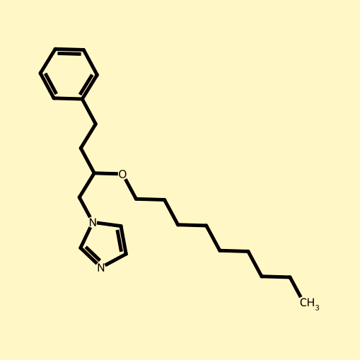 CCCCCCCCCOC(CCc1ccccc1)Cn1ccnc1